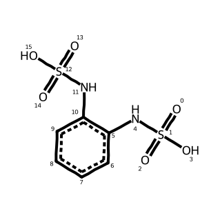 O=S(=O)(O)Nc1ccccc1NS(=O)(=O)O